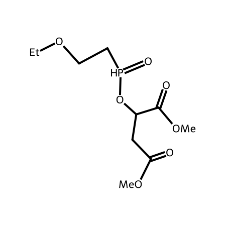 CCOCC[PH](=O)OC(CC(=O)OC)C(=O)OC